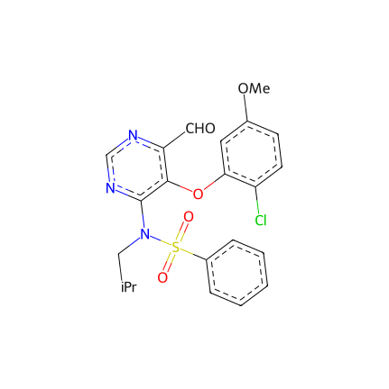 COc1ccc(Cl)c(Oc2c(C=O)ncnc2N(CC(C)C)S(=O)(=O)c2ccccc2)c1